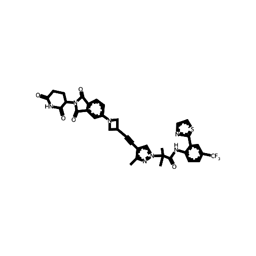 Cc1nn(C(C)(C)C(=O)Nc2ccc(C(F)(F)F)cc2-c2nccs2)cc1C#CC1CN(c2ccc3c(c2)C(=O)N(C2CCC(=O)NC2=O)C3=O)C1